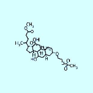 COC(=O)CCC(C)C1CC[C@H]2[C@@H]3[C@H](O)C[C@@H]4C[C@@H](OCCOS(C)(=O)=O)CC[C@]4(C)[C@H]3C[C@H](O)[C@]12C